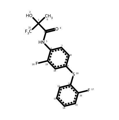 CC(O)(C(=O)Nc1ccc(Sc2ccccc2F)cc1F)C(F)(F)F